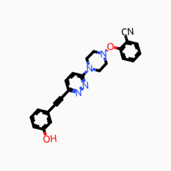 N#Cc1ccccc1ON1CCN(c2ccc(C#Cc3cccc(O)c3)nn2)CC1